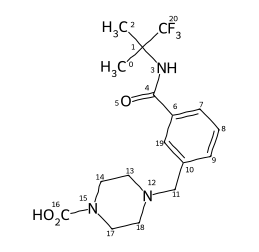 CC(C)(NC(=O)c1cccc(CN2CCN(C(=O)O)CC2)c1)C(F)(F)F